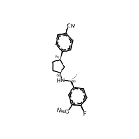 COc1cc([C@@H](C)N[C@H]2CC[C@@H](c3ccc(C#N)cc3)C2)ccc1F